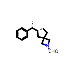 C[C@@H](c1ccccc1)[C@@H]1CCC2(C1)CN(C=O)C2